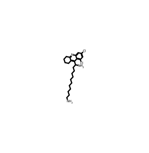 NCCCCCCCCCCCC(N)c1c2c(nc3cc(Cl)cc(Cl)c13)CCCC2